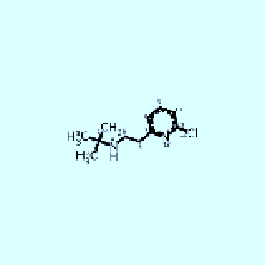 CC(C)(C)NCCc1cccc(Cl)n1